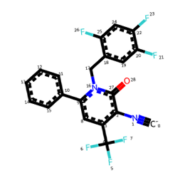 [C-]#[N+]c1c(C(F)(F)F)cc(-c2ccccc2)n(Cc2cc(F)c(F)cc2F)c1=O